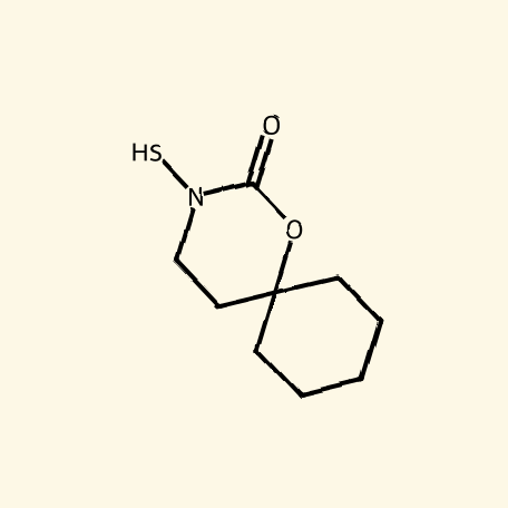 O=C1OC2(CCCCC2)CCN1S